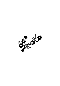 CC(C)(C)CCN1C(=O)[C@H](CC(=O)N2CCC(N3CCc4ccccc4NC3=O)CC2)S[C@H]1c1cccc(F)c1C1CCN(C2CCC2)CC1